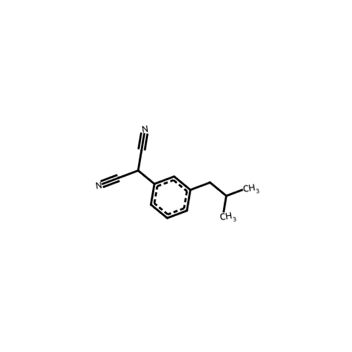 CC(C)Cc1cccc(C(C#N)C#N)c1